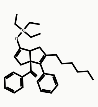 C=C(c1ccccc1)C12CC=C(O[Si](CC)(CC)CC)C1CC(CCCCCC)=C2c1ccccc1